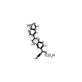 CC#CC(CC(=O)O)c1ccc(OC(CC(C)C)c2cnc3[nH]ncc3c2)cc1